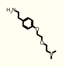 CN(C)CCOCCOc1ccc(CCN)cc1